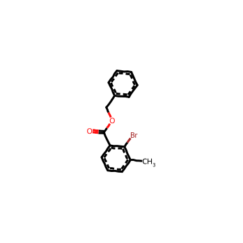 Cc1cccc(C(=O)OCc2ccccc2)c1Br